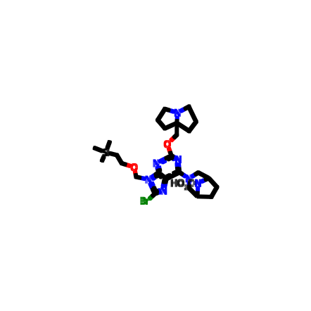 C[Si](C)(C)CCOCn1c(Br)nc2c(N3CC4CCC(C3)N4C(=O)O)nc(OCC34CCCN3CCC4)nc21